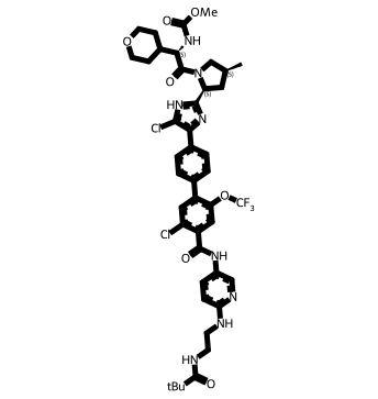 COC(=O)N[C@H](C(=O)N1C[C@@H](C)C[C@H]1c1nc(-c2ccc(-c3cc(Cl)c(C(=O)Nc4ccc(NCCNC(=O)C(C)(C)C)nc4)cc3OC(F)(F)F)cc2)c(Cl)[nH]1)C1CCOCC1